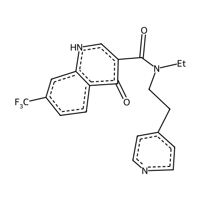 CCN(CCc1ccncc1)C(=O)c1c[nH]c2cc(C(F)(F)F)ccc2c1=O